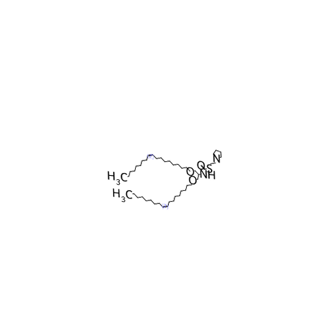 CCCCCCCC/C=C\CCCCCCCCOCC(COCCCCCCCC/C=C\CCCCCCCC)NC(=O)SCCN1CCCC1